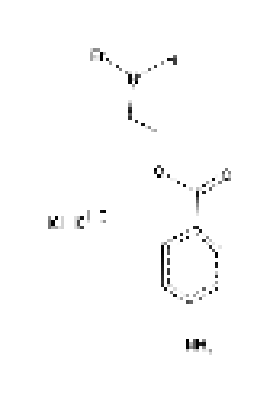 CCN(CC)CCOC(=O)c1ccc(N)cc1.Cl.Cl.Cl